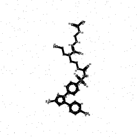 Cc1ccc(-c2cc(C(F)(F)F)nn2-c2ccc(S(=O)(=O)NC(=O)OCCN(CCO)[N+]([O-])=NOCOC(=O)C(C)C)cc2)cc1